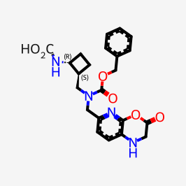 O=C(O)N[C@@H]1CC[C@H]1CN(Cc1ccc2c(n1)OC(=O)CN2)C(=O)OCc1ccccc1